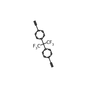 C#Cc1ccc(C(c2ccc(C#C)cc2)(C(F)(F)F)C(F)(F)F)cc1